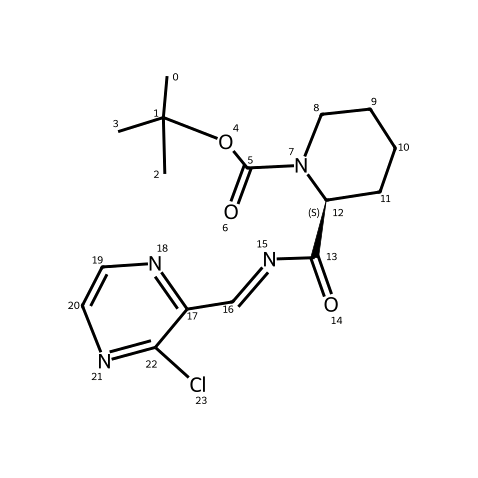 CC(C)(C)OC(=O)N1CCCC[C@H]1C(=O)N=Cc1nccnc1Cl